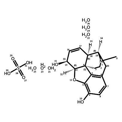 CN1CC[C@]23c4c5ccc(O)c4O[C@H]2[C@@H](O)C=C[C@H]3[C@H]1C5.O.O.O.O.O.O.O=S(=O)(O)O